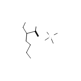 CCCCC(CC)C(=O)O.C[N+](C)(C)C